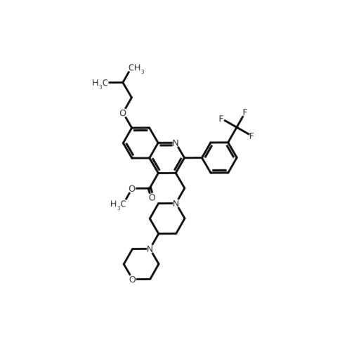 COC(=O)c1c(CN2CCC(N3CCOCC3)CC2)c(-c2cccc(C(F)(F)F)c2)nc2cc(OCC(C)C)ccc12